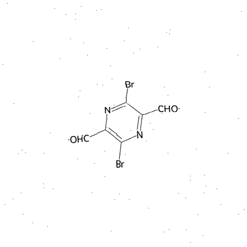 O=[C]c1nc(Br)c([C]=O)nc1Br